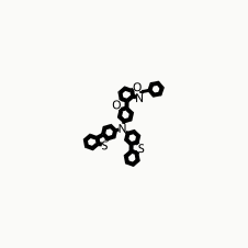 c1ccc(-c2nc3c(ccc4oc5cc(N(c6ccc7c(c6)sc6ccccc67)c6ccc7sc8ccccc8c7c6)ccc5c43)o2)cc1